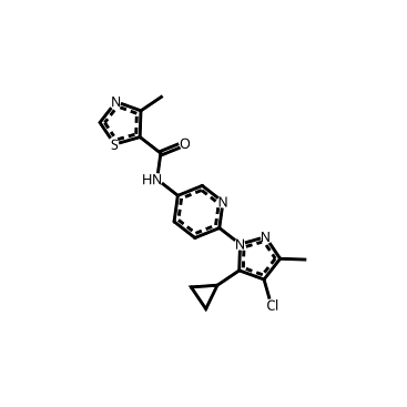 Cc1ncsc1C(=O)Nc1ccc(-n2nc(C)c(Cl)c2C2CC2)nc1